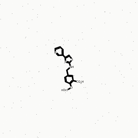 CCCCCCCCOc1ccc(CNc2nc(-c3cccnc3)cs2)cc1C(=O)O